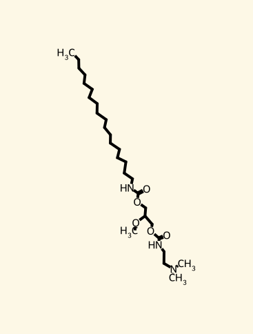 CCCCCCCCCCCCCCCCCCNC(=O)OCC(COC(=O)NCCN(C)C)OC